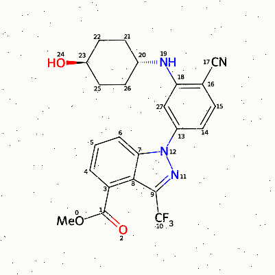 COC(=O)c1cccc2c1c(C(F)(F)F)nn2-c1ccc(C#N)c(N[C@H]2CC[C@H](O)CC2)c1